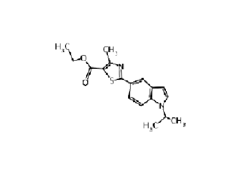 CCOC(=O)c1sc(-c2ccc3c(ccn3C(C)C)c2)nc1C